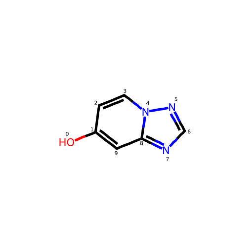 Oc1ccn2ncnc2c1